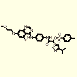 COCCOc1cc(F)c2c(Nc3ccc(NC(=O)C(OS(=O)(=O)c4ccc(C)cc4)n4cc(C(C)C)nn4)cc3)ncnc2c1